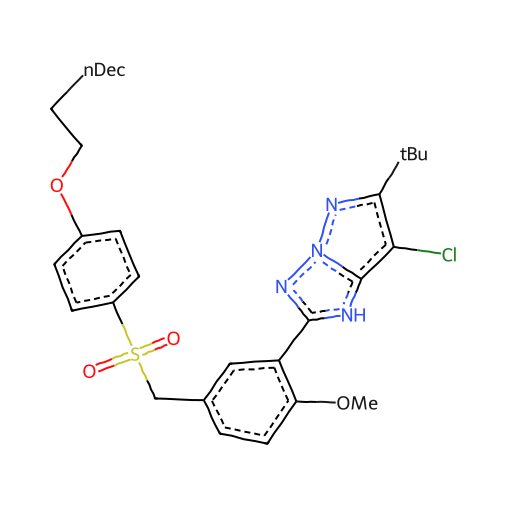 CCCCCCCCCCCCOc1ccc(S(=O)(=O)Cc2ccc(OC)c(-c3nn4nc(C(C)(C)C)c(Cl)c4[nH]3)c2)cc1